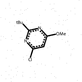 COc1cc(Cl)nc(C(C)(C)C)n1